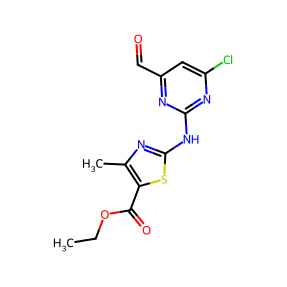 CCOC(=O)c1sc(Nc2nc(Cl)cc(C=O)n2)nc1C